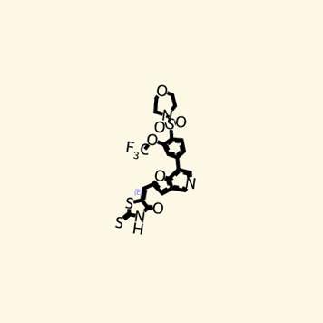 O=C1NC(=S)S/C1=C/c1cc2cncc(-c3ccc(S(=O)(=O)N4CCOCC4)c(OC(F)(F)F)c3)c2o1